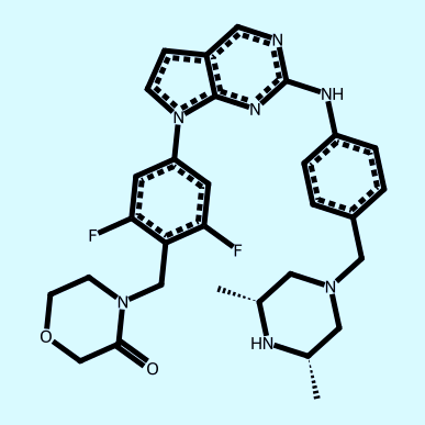 C[C@@H]1CN(Cc2ccc(Nc3ncc4ccn(-c5cc(F)c(CN6CCOCC6=O)c(F)c5)c4n3)cc2)C[C@H](C)N1